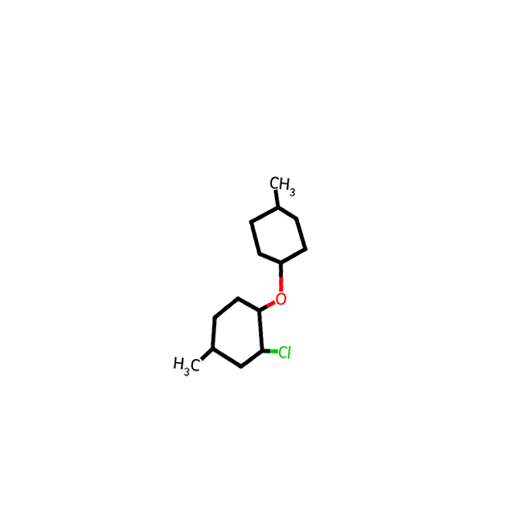 CC1CCC(OC2CCC(C)CC2Cl)CC1